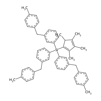 CC1=C(C)C(C)C([Si](c2cccc(Cc3ccc(C)cc3)c2)(c2cccc(Cc3ccc(C)cc3)c2)c2cccc(Cc3ccc(C)cc3)c2)=C1C